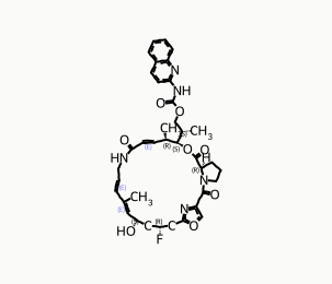 CC1=C\[C@@H](O)C[C@@H](F)Cc2nc(co2)C(=O)N2CCC[C@@H]2C(=O)O[C@H]([C@@H](C)COC(=O)Nc2ccc3ccccc3n2)[C@H](C)/C=C/C(=O)NC\C=C\1